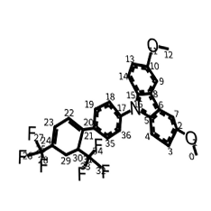 COc1ccc2c(c1)c1cc(OC)ccc1n2-c1ccc(C2=CC=C(C(F)(F)F)CC2C(F)(F)F)cc1